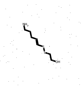 NCCC/C=C/SSCCO